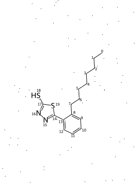 CCCCCCCCc1ccccc1-c1nnc(S)s1